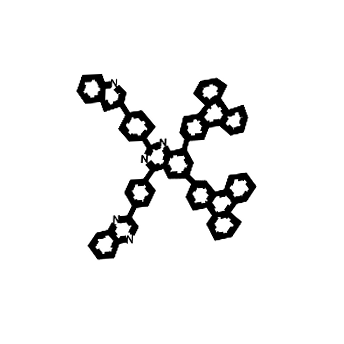 c1ccc2ncc(-c3ccc(-c4nc(-c5ccc(-c6cnc7ccccc7n6)cc5)c5cc(-c6ccc7c8ccccc8c8ccccc8c7c6)cc(-c6ccc7c8ccccc8c8ccccc8c7c6)c5n4)cc3)cc2c1